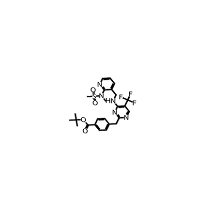 CN(c1ncccc1CNc1nc(Cc2ccc(C(=O)OC(C)(C)C)cc2)ncc1C(F)(F)F)S(C)(=O)=O